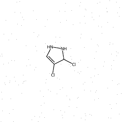 Cl[C]1NNC=C1Cl